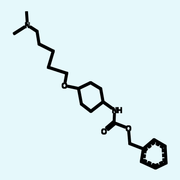 CN(C)CCCCCOC1CCC(NC(=O)OCc2ccccc2)CC1